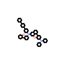 c1ccc(-c2ccc(-c3ccc(N(c4cc5c6c(cccc6c4)-c4ccc(N(c6ccccc6)c6ccccc6)cc4O5)c4cccc5c4oc4ccccc45)cc3)cc2)cc1